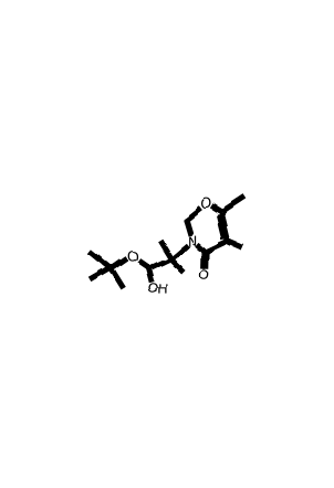 CC1=C(C)C(=O)N(C(C)(C)C(O)OC(C)(C)C)CO1